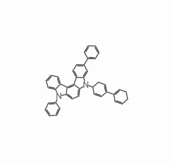 C1=CC(C2=CCC(n3c4cc(-c5ccccc5)ccc4c4c5c6ccccc6n(-c6ccccc6)c5ccc43)C=C2)=CCC1